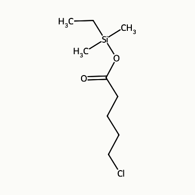 CC[Si](C)(C)OC(=O)CCCCCl